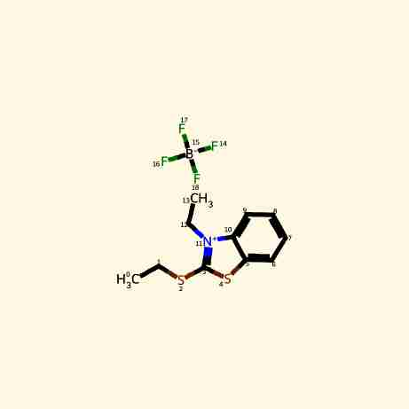 CCSc1sc2ccccc2[n+]1CC.F[B-](F)(F)F